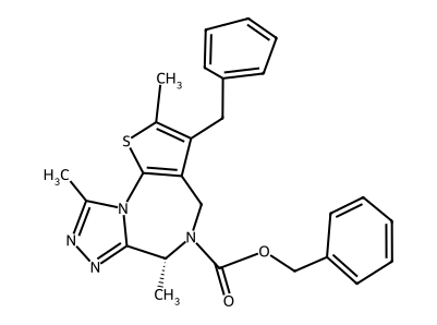 Cc1sc2c(c1Cc1ccccc1)CN(C(=O)OCc1ccccc1)[C@H](C)c1nnc(C)n1-2